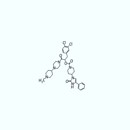 CN1CCC(N2CCN(C(=O)C(Cc3ccc(Cl)c(Cl)c3)OC(=O)N3CCC(n4cc(-c5ccccc5)[nH]c4=O)CC3)CC2)CC1